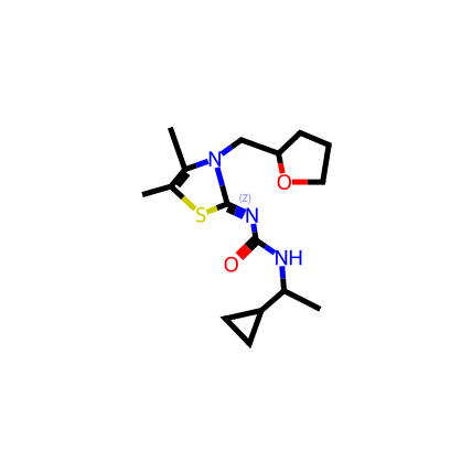 Cc1s/c(=N\C(=O)NC(C)C2CC2)n(CC2CCCO2)c1C